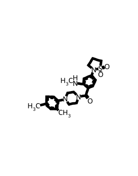 CNc1cc(N2CCCS2(=O)=O)ccc1C(=O)N1CCN(c2ccc(C)cc2C)CC1